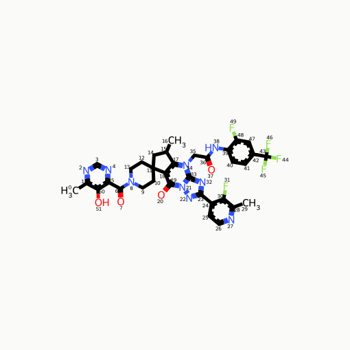 Cc1ncnc(C(=O)N2CCC3(CC2)CC(C)c2c3c(=O)n3nc(-c4ccnc(C)c4F)nc3n2CC(=O)Nc2ccc(C(F)(F)F)cc2F)c1O